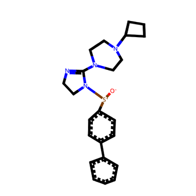 [O-][S+](c1ccc(-c2ccccc2)cc1)N1CCN=C1N1CCN(C2CCC2)CC1